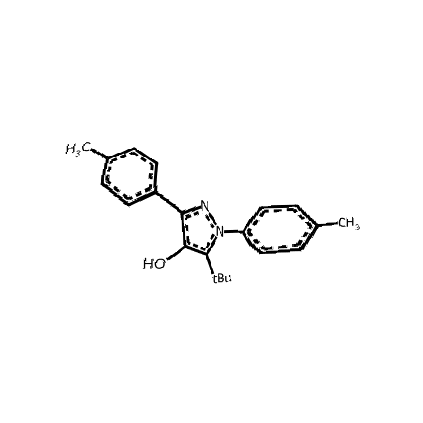 Cc1ccc(-c2nn(-c3ccc(C)cc3)c(C(C)(C)C)c2O)cc1